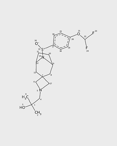 CC(C)(O)CN1CC2(CC3CCC(C2)N3[S+]([O-])c2ccc(OC(F)F)cc2)C1